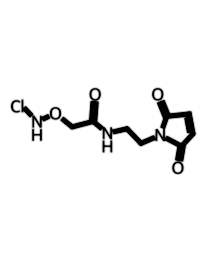 O=C(CONCl)NCCN1C(=O)C=CC1=O